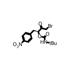 CC(C)(C)NC(=O)O[C@@H](Cc1ccc([N+](=O)[O-])cc1)C(=O)CBr